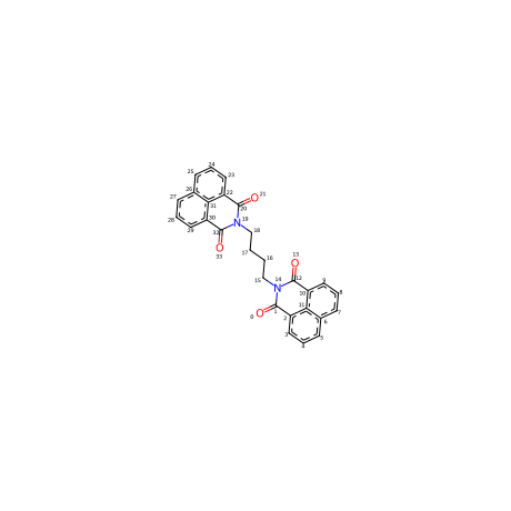 O=C1c2cccc3cccc(c23)C(=O)N1CCCCN1C(=O)c2cccc3cccc(c23)C1=O